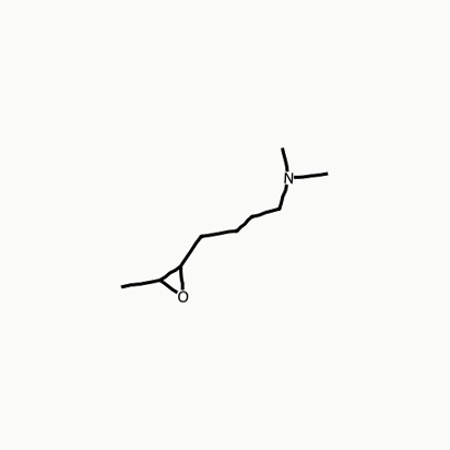 CC1OC1CCCCN(C)C